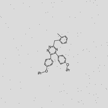 Cc1ccccc1Cc1nnc(-c2ccc(OC(C)C)cc2)c(-c2ccc(OC(C)C)cc2)n1